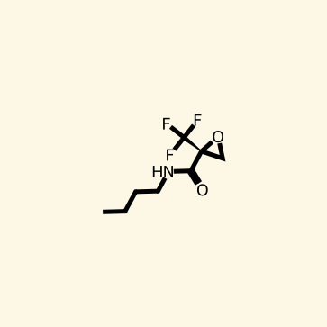 CCCCNC(=O)[C@@]1(C(F)(F)F)CO1